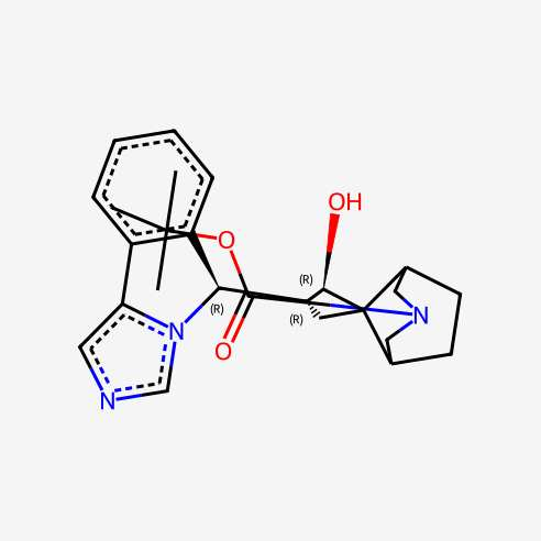 CC(C)(C)OC(=O)N1CC2CCC(C1)C21C[C@H]([C@@H]2c3ccccc3-c3cncn32)[C@H]1O